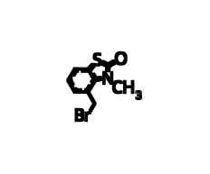 Cn1c(=O)sc2cccc(CBr)c21